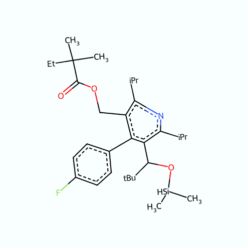 CCC(C)(C)C(=O)OCc1c(C(C)C)nc(C(C)C)c(C(O[SiH](C)C)C(C)(C)C)c1-c1ccc(F)cc1